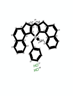 CC1=[C]([Zr](=[SiH2])([CH2]c2ccccc2)[C]2=C(C)Cc3ccc4ccccc4c32)c2c(ccc3ccccc23)C1.Cl.Cl